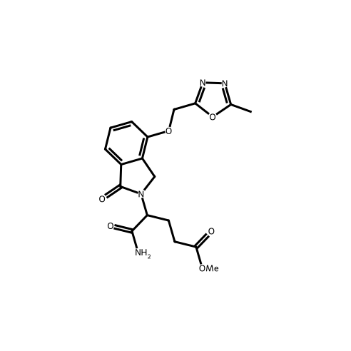 COC(=O)CCC(C(N)=O)N1Cc2c(OCc3nnc(C)o3)cccc2C1=O